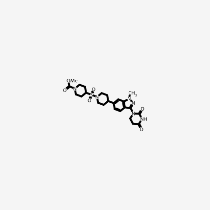 COC(=O)N1CCC(S(=O)(=O)N2CCC(c3ccc4c(N5CCC(=O)NC5=O)nn(C)c4c3)CC2)CC1